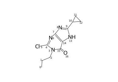 CCCn1c(Cl)nc2nc(C3CC3)[nH]c2c1=O